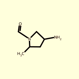 CC1CC(N)CN1C=O